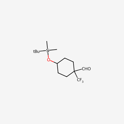 CC(C)(C)[Si](C)(C)OC1CCC(C=O)(C(F)(F)F)CC1